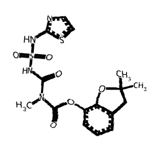 CN(C(=O)NS(=O)(=O)Nc1nccs1)C(=O)Oc1cccc2c1OC(C)(C)C2